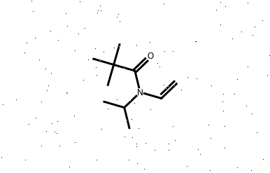 C=CN(C(=O)C(C)(C)C)C(C)C